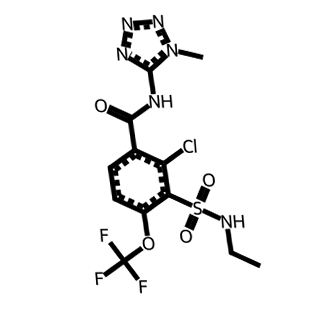 CCNS(=O)(=O)c1c(OC(F)(F)F)ccc(C(=O)Nc2nnnn2C)c1Cl